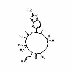 C=CCC1CC(C)(C)CC(O)C(=O)OC(c2ccc3sc(C)nc3c2)C(O)C2OC2(C)CCCC(C)C1=O